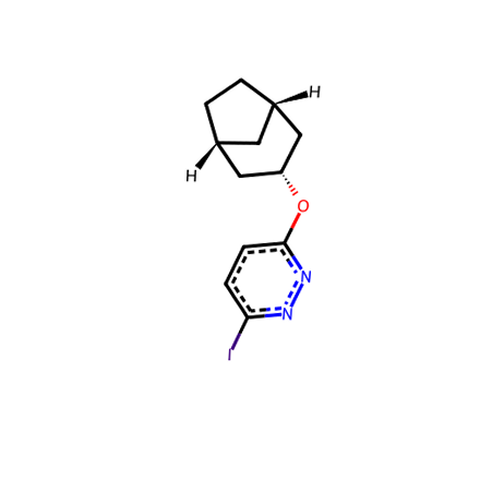 Ic1ccc(O[C@@H]2C[C@@H]3CC[C@@H](C3)C2)nn1